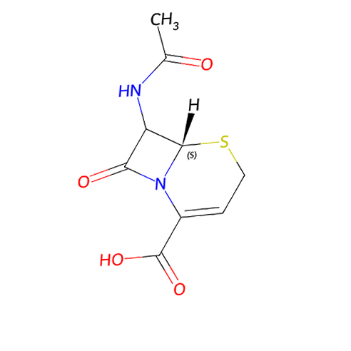 CC(=O)NC1C(=O)N2C(C(=O)O)=CCS[C@@H]12